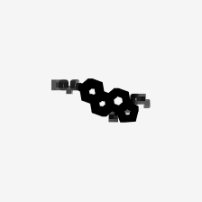 C[C@@]12CCC[C@H]1c1ccc3cc(C(=O)O)ccc3c1CC2